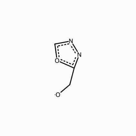 [O]Cc1nnco1